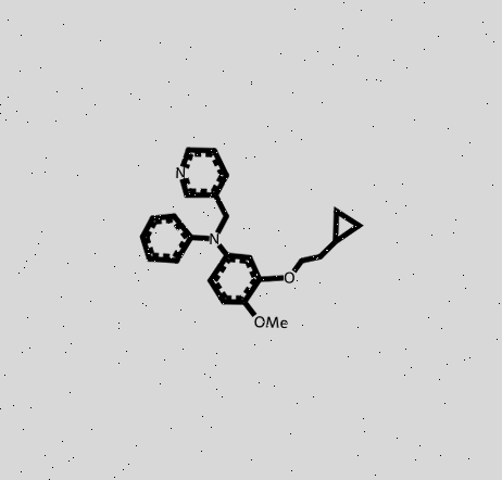 COc1ccc(N(Cc2cccnc2)c2ccccc2)cc1OCCC1CC1